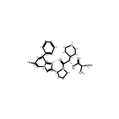 CN[C@@H](C)C(=O)N[C@H](C(=O)N1CCC[C@H]1c1cn2cc(F)cc(-c3ccccc3)c2n1)C1CCOCC1